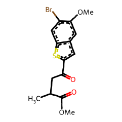 COC(=O)C(C)CC(=O)c1cc2cc(OC)c(Br)cc2s1